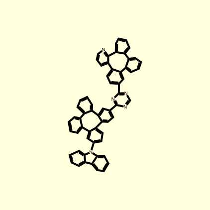 c1ccc2c(c1)-c1ccccc1-c1cc(-n3c4ccccc4c4ccccc43)ccc1-c1ccc(-c3ncnc(-c4ccc5c(c4)-c4ccccc4-c4ccccc4-c4ncccc4-5)n3)cc1-2